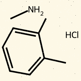 CN.Cc1ccccc1C.Cl